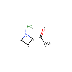 COC(=O)[C@@H]1CCN1.Cl